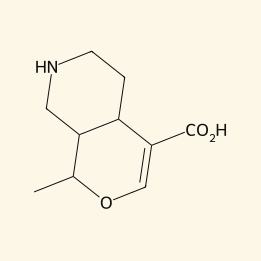 CC1OC=C(C(=O)O)C2CCNCC12